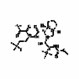 CNC(=O)C(=O)[C@H](CCC(C)(F)F)NC(=O)[C@@H]1[C@H]2CCC[C@H]2CN1C(=O)[C@@H](NC(=O)OC)C(C)(C)C